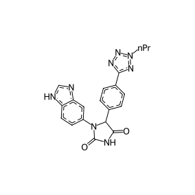 CCCn1nnc(-c2ccc(C3C(=O)NC(=O)N3c3ccc4[nH]cnc4c3)cc2)n1